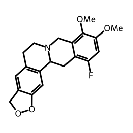 COc1cc(F)c2c(c1OC)CN1CCc3cc4c(cc3C1C2)OOC4